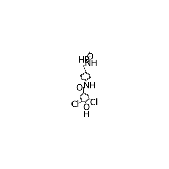 COBNCc1ccc(NC(=O)c2cc(Cl)c(O)c(Cl)c2)cc1